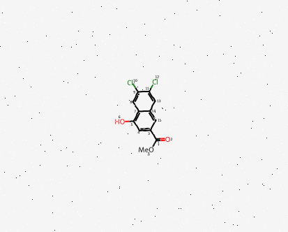 COC(=O)c1cc(O)c2cc(Cl)c(Cl)cc2c1